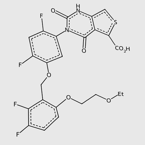 CCOCCOc1ccc(F)c(F)c1COc1cc(-n2c(=O)[nH]c3csc(C(=O)O)c3c2=O)c(F)cc1F